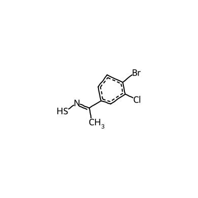 C/C(=N\S)c1ccc(Br)c(Cl)c1